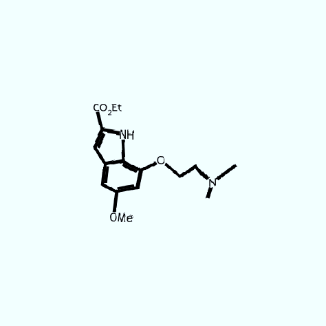 CCOC(=O)c1cc2cc(OC)cc(OCCN(C)C)c2[nH]1